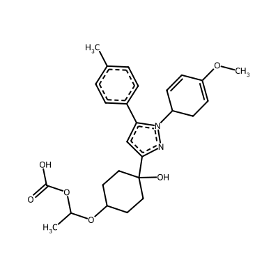 COC1=CCC(n2nc(C3(O)CCC(OC(C)OC(=O)O)CC3)cc2-c2ccc(C)cc2)C=C1